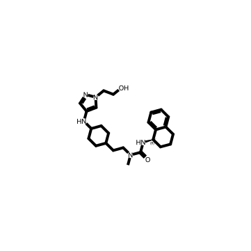 CN(CCC1CCC(Nc2cnn(CCO)c2)CC1)C(=O)N[C@@H]1CCCc2ccccc21